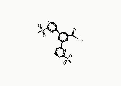 CS(=O)(=O)c1nccc(-c2cc(C(N)=O)cc(-c3ccnc(S(C)(=O)=O)n3)c2)n1